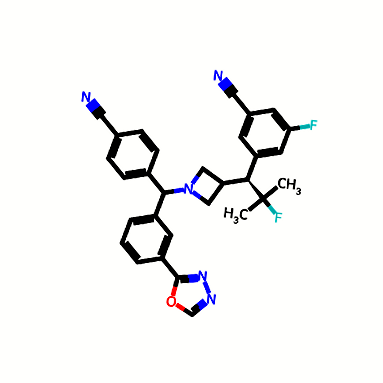 CC(C)(F)[C@H](c1cc(F)cc(C#N)c1)C1CN(C(c2ccc(C#N)cc2)c2cccc(-c3nnco3)c2)C1